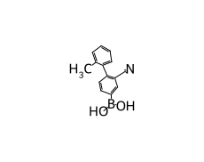 Cc1ccccc1-c1ccc(B(O)O)cc1C#N